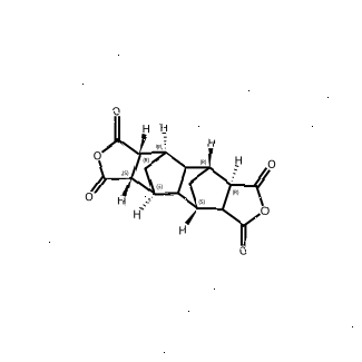 O=C1OC(=O)[C@H]2C1[C@H]1C[C@@H]2C2C1[C@@H]1C[C@H]2[C@H]2C(=O)OC(=O)[C@H]21